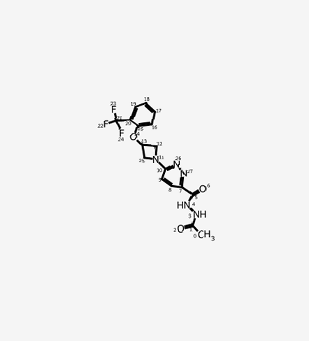 CC(=O)NNC(=O)c1ccc(N2CC(Oc3ccccc3C(F)(F)F)C2)nn1